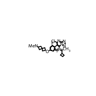 CNC1CC2(C1)CC(Oc1cc(F)c(-c3c(Cl)nc4ncnn4c3N[C@H](C)C3CCC3)c(F)c1)C2